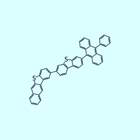 c1ccc(-c2c3ccccc3c(-c3ccc4c(c3)sc3cc(-c5ccc6sc7cc8ccccc8cc7c6c5)ccc34)c3ccccc23)cc1